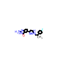 CC(CNc1ccc(-c2ccc3nc(N)[nH]c(=O)c3c2)nn1)c1ccc(F)cc1